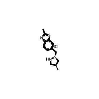 Cc1nc2ccc(CN3C[C@@H](C)CN3)cc2s1.Cl